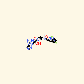 CC(C)(CNC(=O)CC(N)Cc1cc(F)ccc1F)CNC(=O)C(O)C(N)Cn1cnc2cncnc21